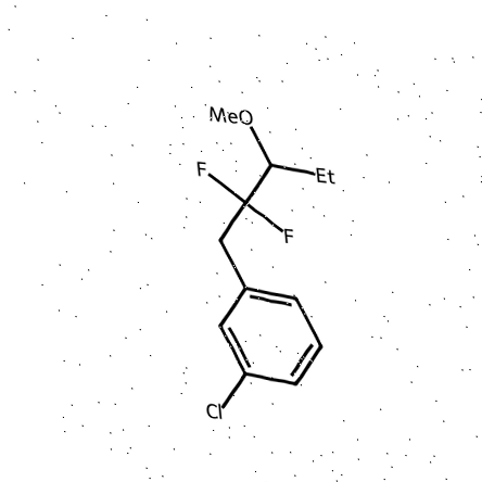 [CH2]CC(OC)C(F)(F)Cc1cccc(Cl)c1